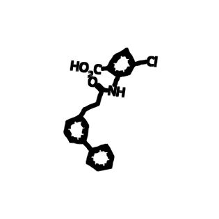 O=C(CCc1cccc(-c2ccccc2)c1)Nc1cc(Cl)ccc1C(=O)O